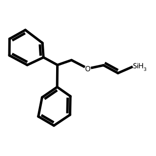 [SiH3]C=COCC(c1ccccc1)c1ccccc1